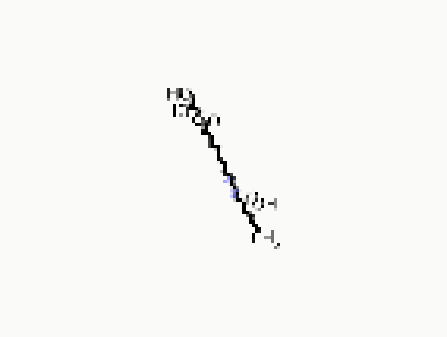 CCCCCC(/C=C/C=C/CCCCCCCC(=O)OCC(O)CO)OO